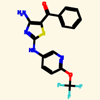 Nc1nc(Nc2ccc(OC(F)(F)F)nc2)sc1C(=O)c1ccccc1